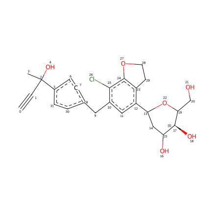 C#CC(C)(O)c1ccc(Cc2cc(C3CC(O)[C@H](O)C(CO)O3)c3c(c2Cl)OCC3)cc1